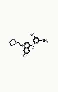 N#Cc1cc(N)cc(Nc2cc[n+](CCN3CCCCC3)c3cc(Cl)ccc23)c1.[Cl-]